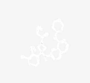 C=CC(=O)N1CC(Nc2ccc3ccnc(OC4CCOCC4)c3c2)(c2cccc(Cl)c2C)C1